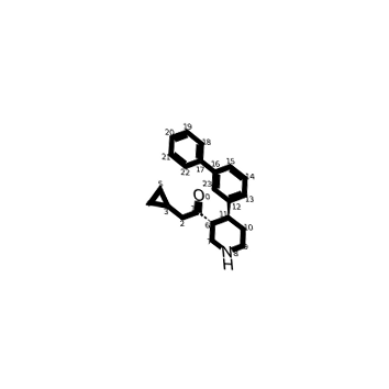 O=C(CC1CC1)[C@H]1CNCC[C@@H]1c1cccc(-c2ccccc2)c1